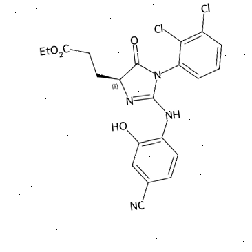 CCOC(=O)CC[C@@H]1N=C(Nc2ccc(C#N)cc2O)N(c2cccc(Cl)c2Cl)C1=O